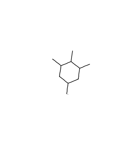 [CH2]C1CC(C)C(C)C(C)C1